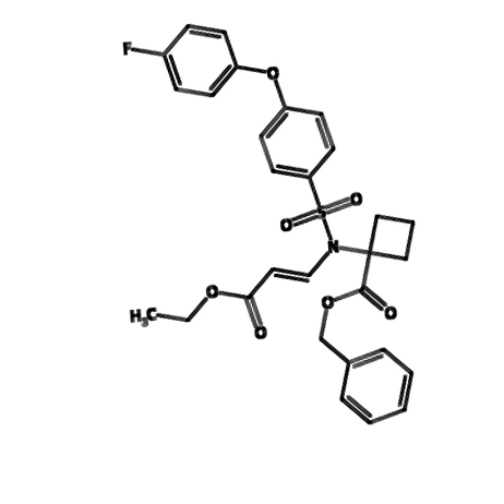 CCOC(=O)C=CN(C1(C(=O)OCc2ccccc2)CCC1)S(=O)(=O)c1ccc(Oc2ccc(F)cc2)cc1